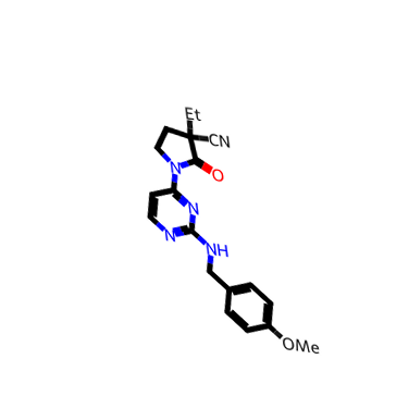 CCC1(C#N)CCN(c2ccnc(NCc3ccc(OC)cc3)n2)C1=O